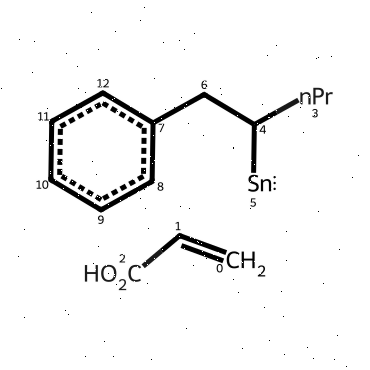 C=CC(=O)O.CCC[CH]([Sn])Cc1ccccc1